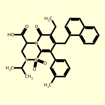 CCc1c(Cc2cccc3ccccc23)c(-c2cccc(C)c2)c2n(c1=O)C(C(=O)O)CN(C(C)C)S2(=O)=O